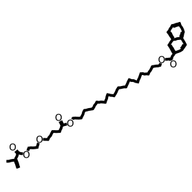 C=C(C)C(=O)OCCOCCCC(=O)OCCCCCCCCCCCCCCCCOC(=O)c1ccc2ccccc2c1